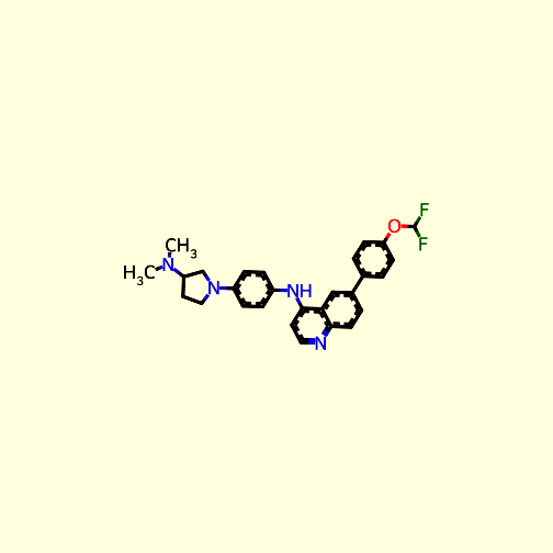 CN(C)C1CCN(c2ccc(Nc3ccnc4ccc(-c5ccc(OC(F)F)cc5)cc34)cc2)C1